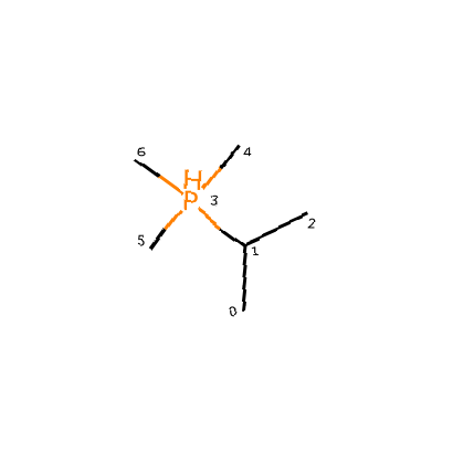 CC(C)[PH](C)(C)C